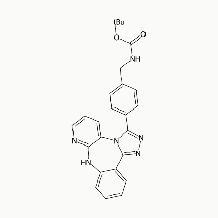 CC(C)(C)OC(=O)NCc1ccc(-c2nnc3n2-c2cccnc2Nc2ccccc2-3)cc1